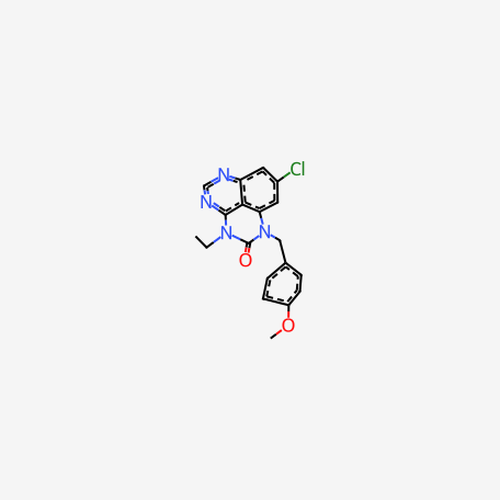 CCN1C(=O)N(Cc2ccc(OC)cc2)c2cc(Cl)cc3ncnc1c23